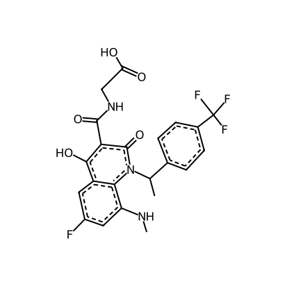 CNc1cc(F)cc2c(O)c(C(=O)NCC(=O)O)c(=O)n(C(C)c3ccc(C(F)(F)F)cc3)c12